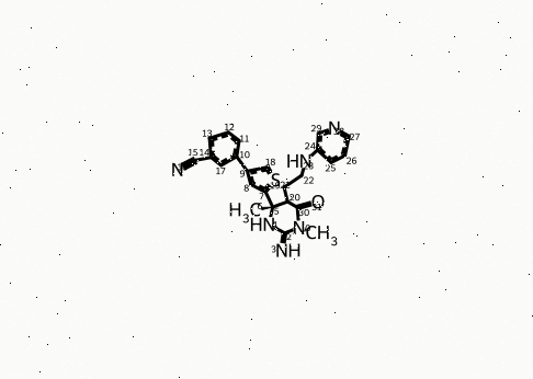 CN1C(=N)N[C@](C)(c2cc(-c3cccc(C#N)c3)cs2)C(CCNc2cccnc2)C1=O